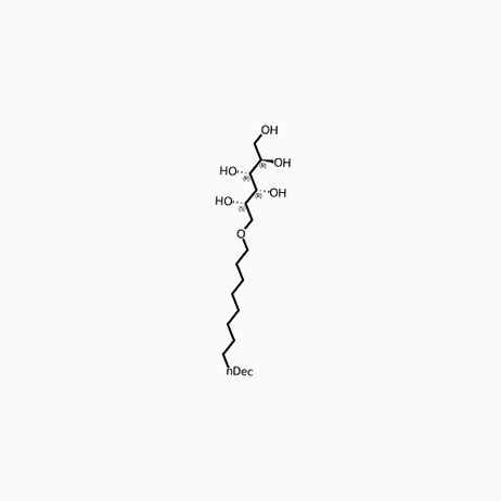 CCCCCCCCCCCCCCCCCCOC[C@H](O)[C@@H](O)[C@H](O)[C@H](O)CO